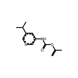 C=C(C)OC(=O)Nc1cncc(C(C)C)c1